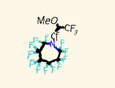 CO[C](=[Cf][N]1C(F)(F)C(F)(F)C(F)(F)C(F)(F)C(F)(F)C1(F)F)C(F)(F)F